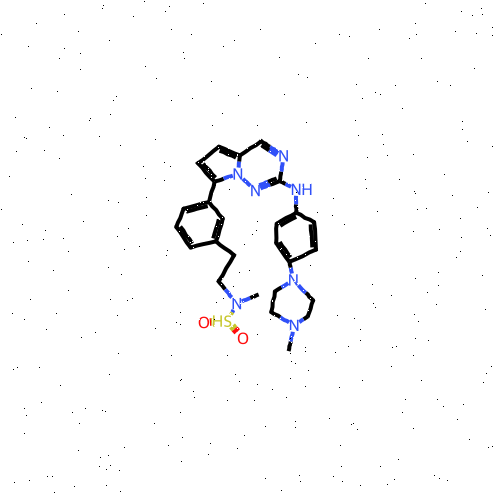 CN1CCN(c2ccc(Nc3ncc4ccc(-c5cccc(CCN(C)[SH](=O)=O)c5)n4n3)cc2)CC1